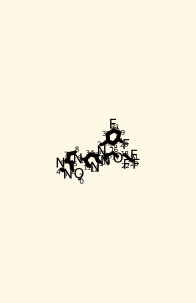 COc1ncnc2ccn(-c3cnc4nc(COCC(F)(F)F)n(Cc5cc(F)cc(F)c5)c4c3)c12